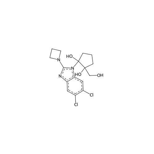 OCC1(O)CCCC1(O)n1c(N2CCC2)nc2cc(Cl)c(Cl)cc21